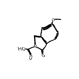 COc1ccc2c(c1)CN(C(=O)O)C2=O